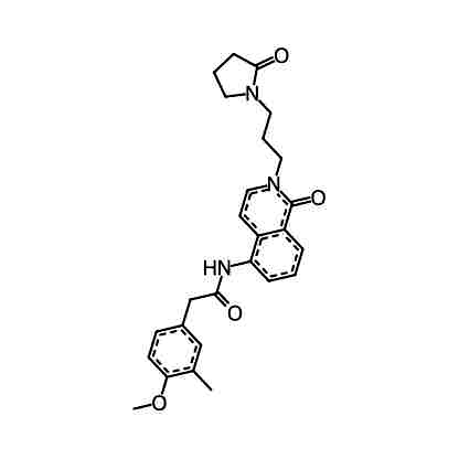 COc1ccc(CC(=O)Nc2cccc3c(=O)n(CCCN4CCCC4=O)ccc23)cc1C